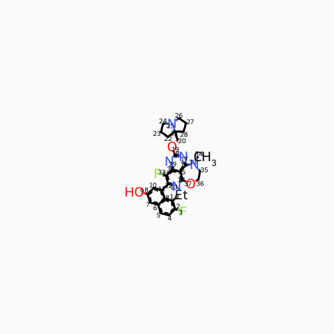 CCc1c(F)ccc2cc(O)cc(-c3nc4c5c(nc(OCC67CCCN6CCC7)nc5c3F)N(C)CCO4)c12